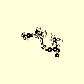 Cc1cc(C)c(CNC(=O)c2cc(-c3ccc(CN4CCN(CCOCC(=O)N[C@H](C(=O)N5C[C@H](O)C[C@H]5C(=O)NCc5ccc(-c6scnc6C)cc5)C(C)(C)C)CC4)cc3)cc3c2ccn3C2CCCC2)c(=O)[nH]1